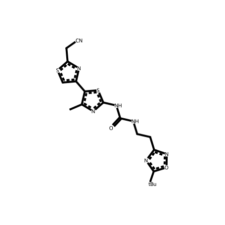 Cc1nc(NC(=O)NCCc2noc(C(C)(C)C)n2)sc1-c1csc(CC#N)n1